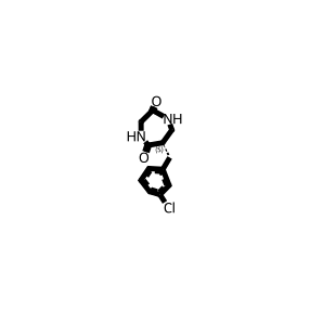 O=C1CNC(=O)[C@@H](Cc2cccc(Cl)c2)CN1